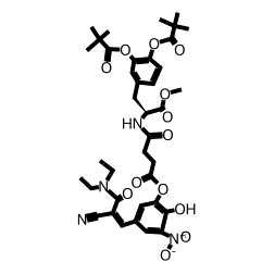 CCN(CC)C(=O)C(C#N)=Cc1cc(OC(=O)CCC(=O)N[C@@H](Cc2ccc(OC(=O)C(C)(C)C)c(OC(=O)C(C)(C)C)c2)C(=O)OC)c(O)c([N+](=O)[O-])c1